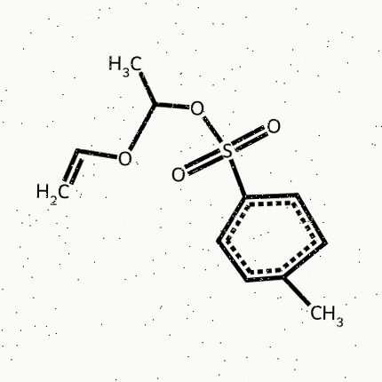 C=COC(C)OS(=O)(=O)c1ccc(C)cc1